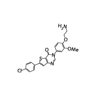 COc1cc(-n2cnc3cc(-c4ccc(Cl)cc4)sc3c2=O)ccc1OCCN